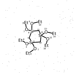 CCO[Si]1(OCC)C[Si](OCC)(OCC)C[Si](OCC)(OCC)C1